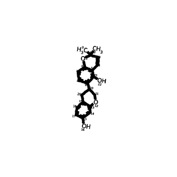 CC1(C)C=Cc2c(ccc(C3COc4cc(O)ccc4C3)c2O)O1